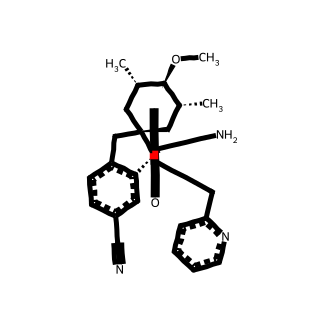 CO[C@H]1[C@H](C)C[C@@]2(Cc3ccc(C#N)cc3[C@]23N=C(N)N(Cc2ccccn2)C3=O)C[C@@H]1C